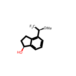 CO[C@@H](c1cccc2c1CC[C@@H]2O)C(F)(F)F